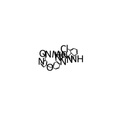 CNC(=O)c1cc(Oc2ccc3c(c2)nc(NC2=NNC4C=CC=C(Cl)C24)n3C)ccn1